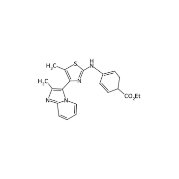 CCOC(=O)C1C=CC(Nc2nc(-c3c(C)nc4ccccn34)c(C)s2)=CC1